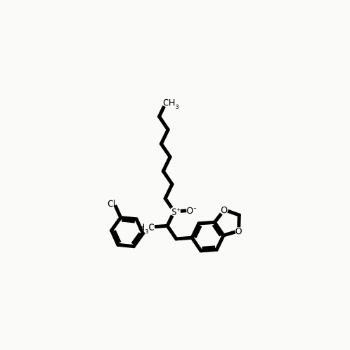 CCCCCCCC[S+]([O-])C(C)Cc1ccc2c(c1)OCO2.Clc1ccccc1